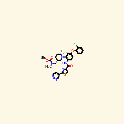 CN(C[C@@H]1CCCN(c2c(NC(=O)c3csc(-c4ccnnc4)n3)ccc(Oc3ccccc3Cl)c2C(F)(F)F)C1)C(=O)OC(C)(C)C